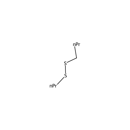 CCCCSSCCC